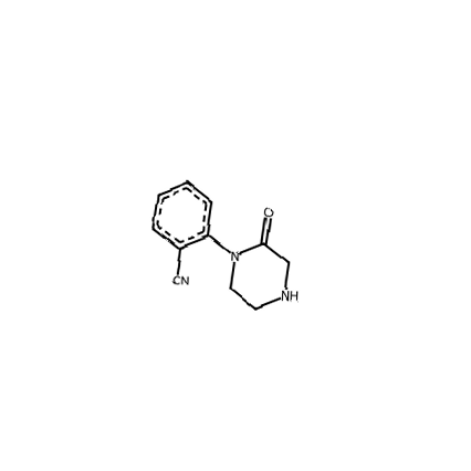 N#Cc1ccccc1N1CCNCC1=O